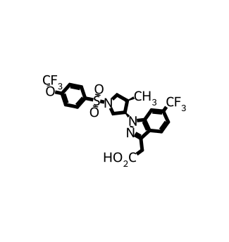 C[C@@H]1CN(S(=O)(=O)c2ccc(OC(F)(F)F)cc2)C[C@@H]1n1nc(CC(=O)O)c2ccc(C(F)(F)F)cc21